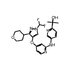 CC(C)(O)c1ccc(Nc2cc(Oc3cn(C(F)F)nc3C3CCOCC3)ccn2)cn1